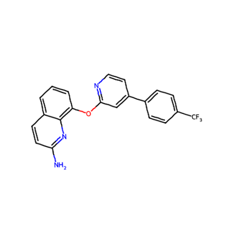 Nc1ccc2cccc(Oc3cc(-c4ccc(C(F)(F)F)cc4)ccn3)c2n1